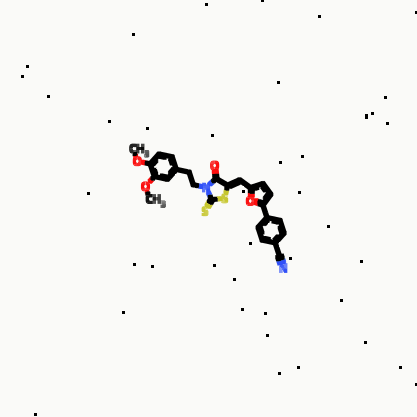 COc1ccc(CCN2C(=O)/C(=C/c3ccc(-c4ccc(C#N)cc4)o3)SC2=S)cc1OC